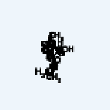 CCc1cccc(-c2c(Cl)cccc2C(O)(CCCNC(=O)O)C2CCCN(C(=O)c3ccc(CN(C)C)cc3)C2)c1